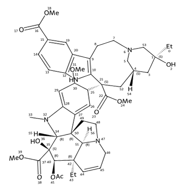 CC[C@]1(O)C[C@H]2CN(CCc3c([nH]c4ccc(C(=O)OC)cc34)[C@@](C(=O)OC)(C3C=C4C(=CC3OC)N(C)[C@H]3[C@@](O)(C(=O)OC)[C@H](OC(C)=O)[C@]5(CC)C=CCN6CC[C@]43[C@@H]65)C2)C1